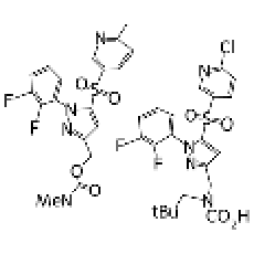 CC(C)(C)CN(Cc1cc(S(=O)(=O)c2ccc(Cl)nc2)n(-c2cccc(F)c2F)n1)C(=O)O.CNC(=O)OCc1cc(S(=O)(=O)c2ccc(C)nc2)n(-c2cccc(F)c2F)n1